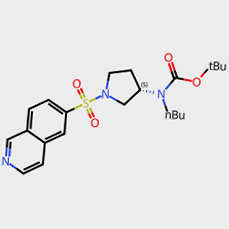 CCCCN(C(=O)OC(C)(C)C)[C@H]1CCN(S(=O)(=O)c2ccc3cnccc3c2)C1